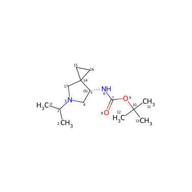 CC(C)N1C[C@@H](NC(=O)OC(C)(C)C)C2(CC2)C1